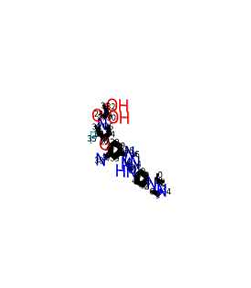 C[C@H]1CN(C)CCN1c1ccc(Nc2ncnc(-c3ccc(O[C@H]4CCN(C(=O)C(O)CO)C[C@H]4F)c(C#N)c3)n2)cc1